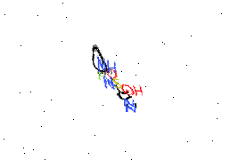 Oc1cc(-n2ccnc2)ccc1-c1nnc(O[C@H]2CC3CCCC(N3)[C@@H]2F)s1